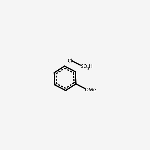 COc1ccccc1.O=S(=O)(O)Cl